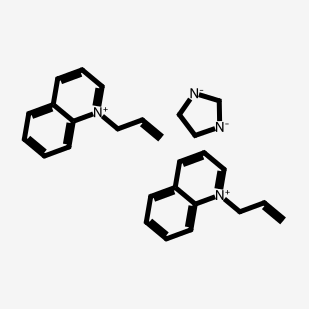 C1C[N-]C[N-]1.C=CC[n+]1cccc2ccccc21.C=CC[n+]1cccc2ccccc21